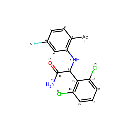 CC(=O)c1ccc(F)cc1NC(C(N)=O)c1c(Cl)cccc1Cl